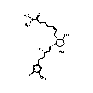 Cc1cc(CC[C@H](O)/C=C/[C@@H]2[C@@H](C/C=C\CCCC(=O)N(C)C)[C@@H](O)C[C@H]2O)sc1Br